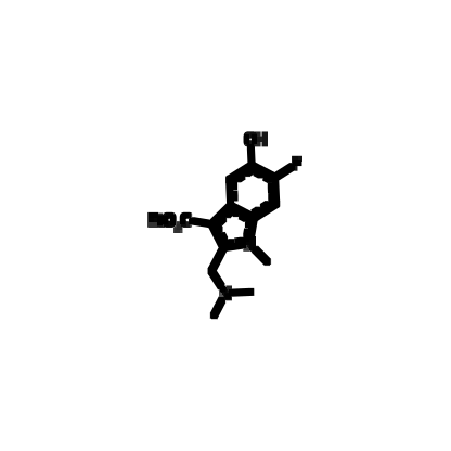 CCOC(=O)c1c(CN(C)C)n(C)c2cc(F)c(O)cc12